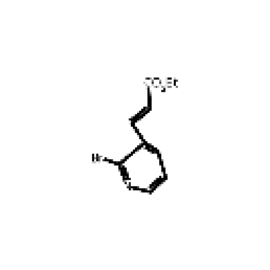 CCOC(=O)/C=C/c1cccnc1Br